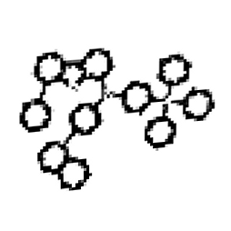 c1ccc(-c2cccc3c2sc2c(N(c4ccc(-c5cccc6ccccc56)cc4)c4ccc([Si](c5ccccc5)(c5ccccc5)c5ccccc5)cc4)cccc23)cc1